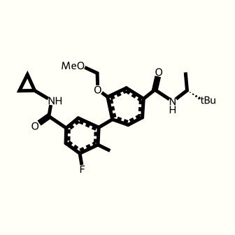 COCOc1cc(C(=O)N[C@H](C)C(C)(C)C)ccc1-c1cc(C(=O)NC2CC2)cc(F)c1C